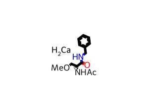 COC[C@@H](NC(C)=O)C(=O)NCc1ccccc1.[CaH2]